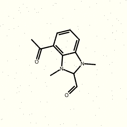 CC(=O)c1cccc2c1N(C)C(C=O)N2C